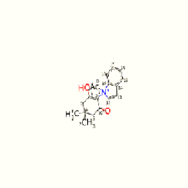 CC(=O)[N+]1(C2=C(O)CC(C)(C)CC2=O)C=Cc2ccccc21